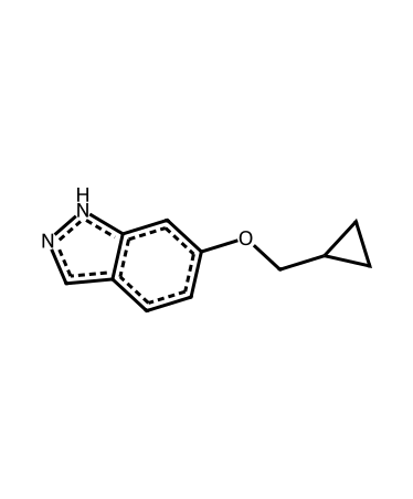 c1cc2cn[nH]c2cc1OCC1CC1